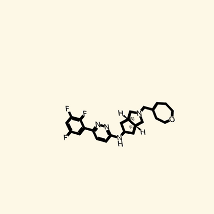 Fc1cc(F)c(F)c(-c2ccc(NC3C[C@@H]4CN(CC5CCCOCC5)C[C@@H]4C3)nn2)c1